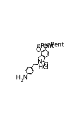 CCCCCOc1ccc2c(c1OCCCCC)CN(CCc1ccc(N)cc1)C2=O.Cl